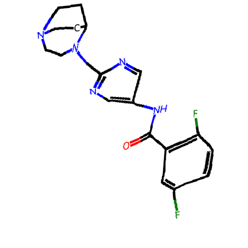 O=C(Nc1cnc(N2CCN3CCC2CC3)nc1)c1cc(F)ccc1F